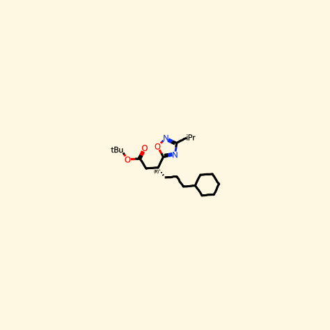 CC(C)c1noc([C@H](CCCC2CCCCC2)CC(=O)OC(C)(C)C)n1